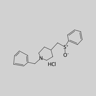 Cl.[O-][S+](CC1CCN(Cc2ccccc2)CC1)c1ccccc1